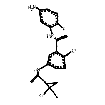 C=C(Nc1cc(N)ccc1F)c1cc(NC(=C)C2CC2(C)Cl)ccc1Cl